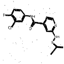 CC(C)SNc1cc(C(=O)Nc2ccc(F)c(Cl)c2)ccn1